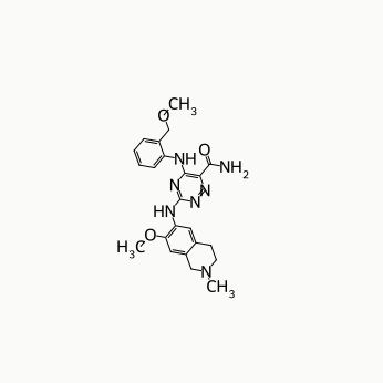 COCc1ccccc1Nc1nc(Nc2cc3c(cc2OC)CN(C)CC3)nnc1C(N)=O